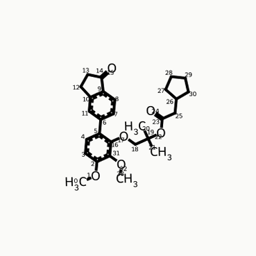 COc1ccc(-c2ccc3c(c2)CCC3=O)c(OCC(C)(C)OC(=O)CC2CCCC2)c1OC